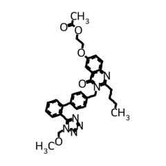 CCCCc1nc2ccc(OCCOC(C)=O)cc2c(=O)n1Cc1ccc(-c2ccccc2-c2nnnn2COC)cc1